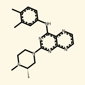 Cc1ccc(Nc2nc(N3CCN(C)[C@@H](C)C3)nc3nccnc23)cc1C